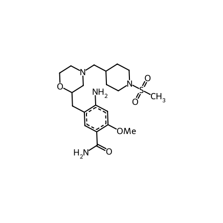 COc1cc(N)c(CC2CN(CC3CCN(S(C)(=O)=O)CC3)CCO2)cc1C(N)=O